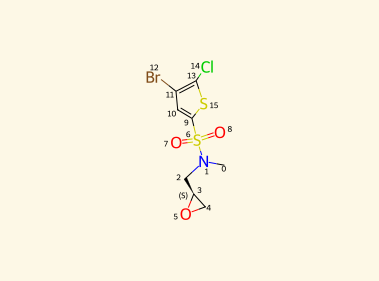 CN(C[C@H]1CO1)S(=O)(=O)c1cc(Br)c(Cl)s1